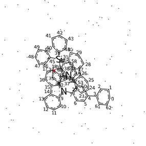 c1ccc(-c2ccc(-n3c4ccccc4c4cccc(-n5c6ccccc6c6cccc([Si](c7ccccc7)(c7ccccc7)c7ccccc7)c65)c43)c(-c3ccccc3)c2)cc1